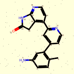 Cc1ccc(N)cc1-c1ccnc(-c2ccnc3c2CC(=O)N3)c1